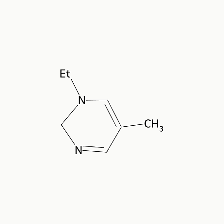 CCN1C=C(C)C=NC1